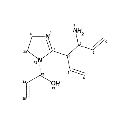 C=CC(N)C(C=C)C1=NCCN1C(O)C=C